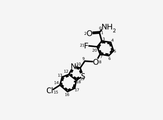 NC(=O)c1cccc(OCc2nc3cc(Cl)ccc3s2)c1F